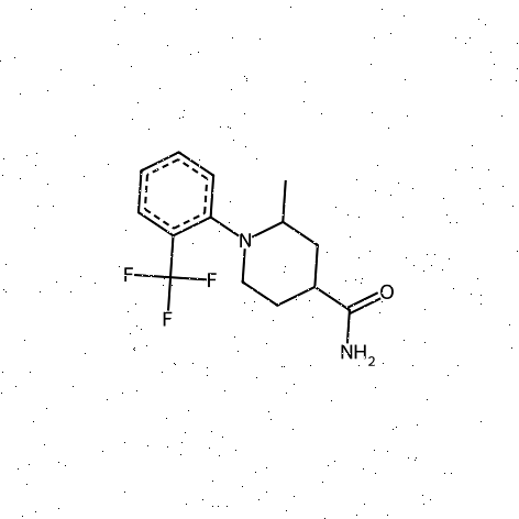 CC1CC(C(N)=O)CCN1c1ccccc1C(F)(F)F